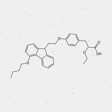 CCCCOc1cccc2c1-c1ccccc1C2CCOc1ccc(CC(OCC)C(=O)O)cc1